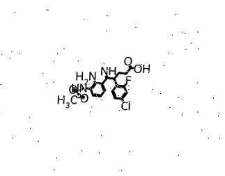 CS(=O)(=O)Nc1cccc(C(=N)C(CCC(=O)O)c2ccc(Cl)cc2F)c1N